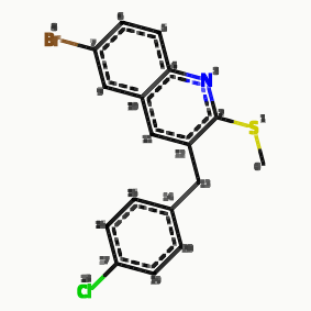 CSc1nc2ccc(Br)cc2cc1Cc1ccc(Cl)cc1